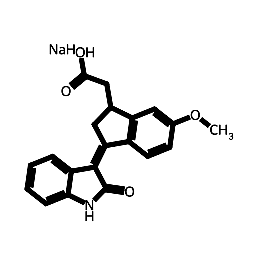 COc1ccc2c(c1)C(CC(=O)O)CC2=C1C(=O)Nc2ccccc21.[NaH]